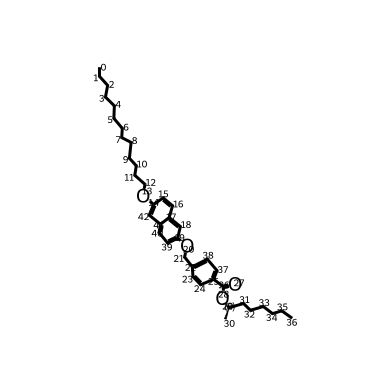 CCCCCCCCCCCCCOc1ccc2cc(OCc3ccc(C(=O)O[C@H](C)CCCCCC)cc3)ccc2c1